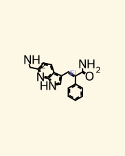 NCc1ccc2c(/C=C(/C(N)=O)c3ccccc3)c[nH]c2n1